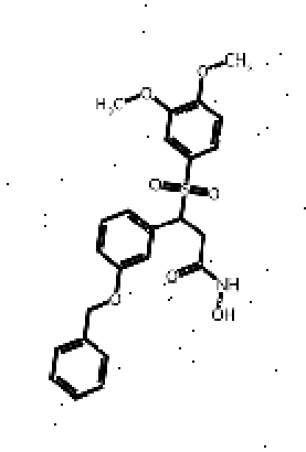 COc1ccc(S(=O)(=O)C(CC(=O)NO)c2cccc(OCc3ccccc3)c2)cc1OC